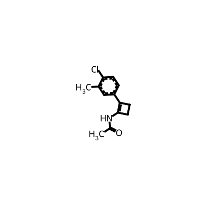 CC(=O)NC1=C(c2ccc(Cl)c(C)c2)CC1